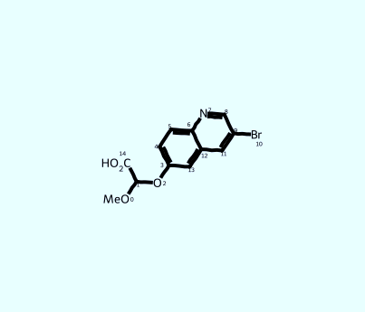 COC(Oc1ccc2ncc(Br)cc2c1)C(=O)O